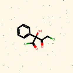 O=C(Cl)C(O)(C(=O)CCl)c1ccccc1